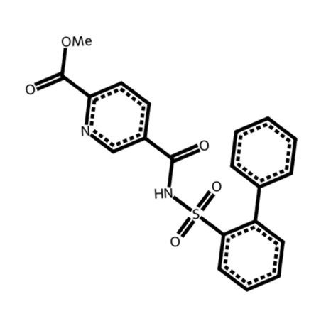 COC(=O)c1ccc(C(=O)NS(=O)(=O)c2ccccc2-c2ccccc2)cn1